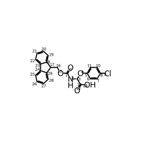 O=C(N[C@@H](Oc1ccc(Cl)cc1)C(=O)O)OCC1c2ccccc2-c2ccccc21